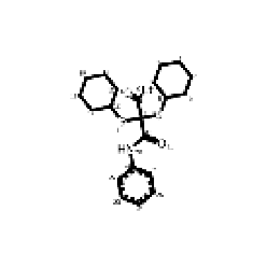 CCC(=O)C(SC1CCCCC1)(SC1CCCCC1)C(=O)Nc1ccccc1